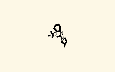 CC(=Nc1ccccc1O[Si](C)(C)C)N1CCC(C)C1